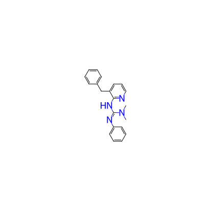 CN(C)C(=Nc1ccccc1)Nc1ncccc1Cc1ccccc1